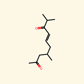 CC(=O)CC(C)C/C=C/C(=O)C(C)C